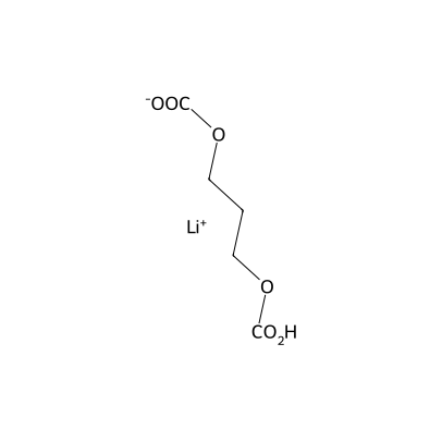 O=C([O-])OCCCOC(=O)O.[Li+]